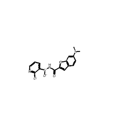 CN(C)c1ccc2cc(C(=O)N[S+]([O-])c3cccnc3Cl)oc2c1